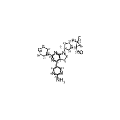 C[C@]1(N2CCc3c(-c4cnc(N)nc4)nc(N4CCOCC4)nc32)CCN([C@@]2(C=O)CC2(F)F)C1